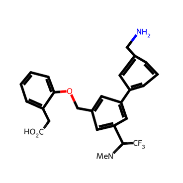 CNC(c1cc(COc2ccccc2CC(=O)O)cc(-c2cccc(CN)c2)c1)C(F)(F)F